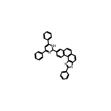 C1=C(c2ccccc2)NC(c2ccc3c(ccc4ccc5sc(-c6ccccc6)nc5c43)c2)N=C1c1ccccc1